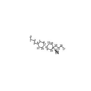 CCCCC1CCC([C@H]2CC[C@](C#N)(CCCC)CC2)CC1